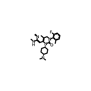 C=N/C(=C\C1=C(C)CN(c2c(C)cccc2F)C(=O)N1[C@H]1CC[C@@H](N(C)C)CC1)NC